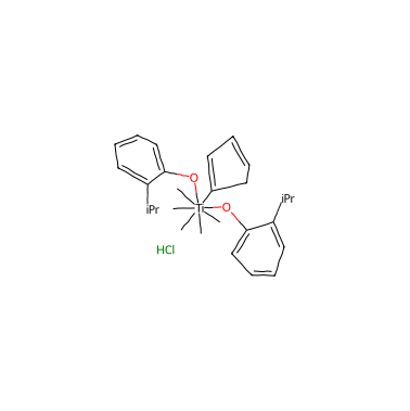 CC(C)c1ccccc1[O][Ti]([CH3])([CH3])([CH3])([CH3])([CH3])([O]c1ccccc1C(C)C)[C]1=CC=CC1.Cl